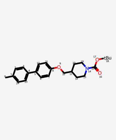 Cc1ccc(-c2ccc(OCC3CCN(C(=O)OC(C)(C)C)CC3)cc2)cc1